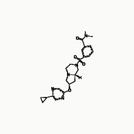 CN(C)C(=O)c1cccc(S(=O)(=O)N2CCN3C[C@H](Oc4cnc(C5CC5)cn4)C[C@H]3C2)c1